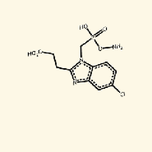 NOP(=O)(O)Cn1c(CCC(=O)O)nc2cc(Cl)ccc21